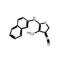 O=C=C1COC(Nc2ccc3ccccc3c2)=C1C(=O)O